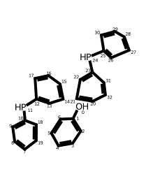 Oc1ccccc1.c1ccc(Pc2ccccc2)cc1.c1ccc(Pc2ccccc2)cc1